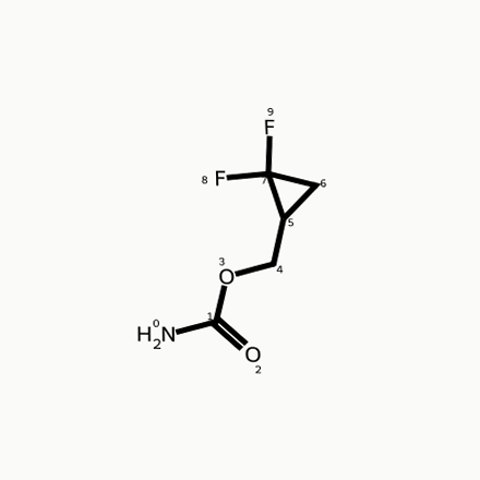 NC(=O)OCC1CC1(F)F